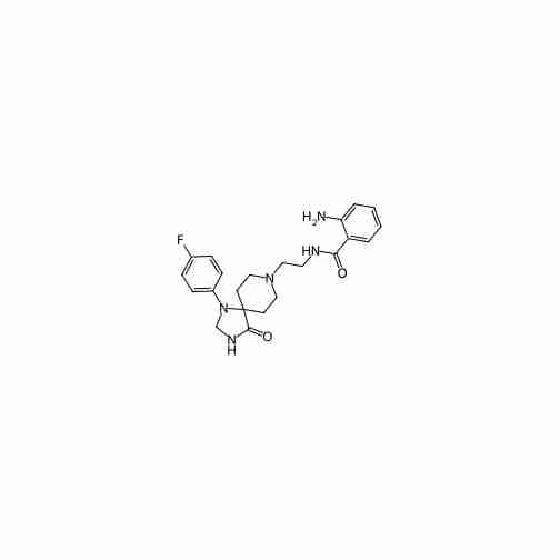 Nc1ccccc1C(=O)NCCN1CCC2(CC1)C(=O)NCN2c1ccc(F)cc1